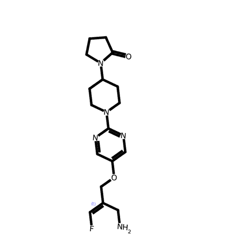 NC/C(=C\F)COc1cnc(N2CCC(N3CCCC3=O)CC2)nc1